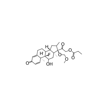 CCC(=O)OCC(=O)[C@@]1(OCOC)C(C)C[C@H]2[C@@H]3CCC4=CC(=O)C=C[C@]4(C)[C@@]3(F)C(O)C[C@@]21C